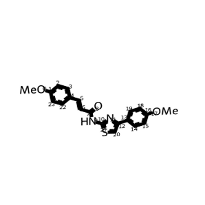 COc1ccc(/C=C/C(=O)Nc2nc(-c3ccc(OC)cc3)cs2)cc1